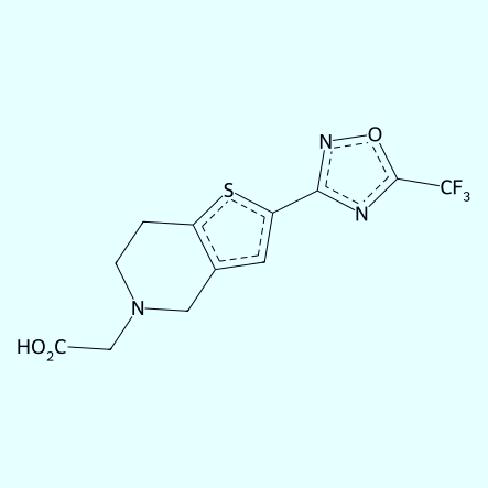 O=C(O)CN1CCc2sc(-c3noc(C(F)(F)F)n3)cc2C1